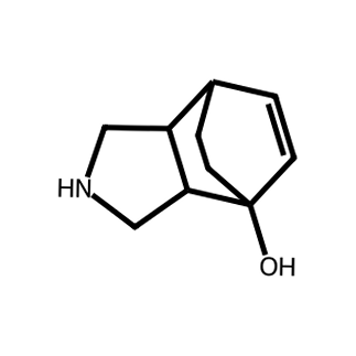 OC12C=CC(CC1)C1CNCC12